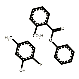 Cc1ccc(C(C)C)c(O)c1.O=C(O)c1ccccc1C(=O)Oc1ccccc1